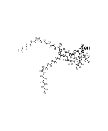 CCCCCCCC/C=C\CCCCCCCC(=O)OCC(CO[C@H]1O[C@H](CS(=O)(=O)O)[C@@H](O[Si](C)(C)C(C)(C)C)[C@H](O[Si](C)(C)C(C)(C)C)[C@H]1O[Si](C)(C)C(C)(C)C)OC(=O)CCCCCCC/C=C\CCCCCCCC